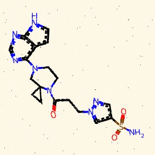 NS(=O)(=O)c1cnn(CCC(=O)N2CCN(c3ncnc4[nH]ccc34)CC23CC3)c1